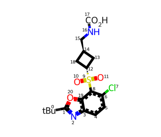 CC(C)(C)c1nc2ccc(Cl)c(S(=O)(=O)[C@H]3C[C@H](CNC(=O)O)C3)c2o1